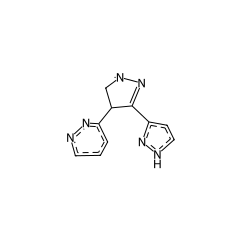 c1cnnc(C2C[N]N=C2c2cc[nH]n2)c1